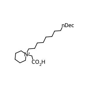 CCCCCCCCCCCCCCCCCC[N+]1(CC(=O)O)CCCCC1